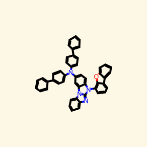 c1ccc(-c2ccc(N(c3ccc(-c4ccccc4)cc3)c3ccc4c(c3)n3c5ccccc5nc3n4-c3cccc4c3oc3ccccc34)cc2)cc1